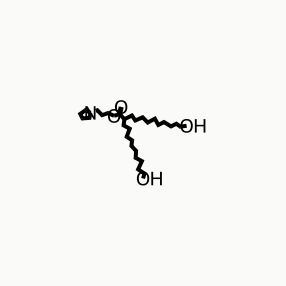 O=C(OCCCN1CCCC1)C(CCCCCCCCCCO)CCCCCCCCCCO